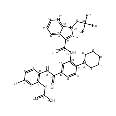 O=C(O)Cc1cc(F)ccc1NC(=O)c1ccc(N2CCCCC2)c(NC(=O)c2nn(CC(F)(F)F)c3ncccc23)c1